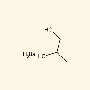 CC(O)CO.[BaH2]